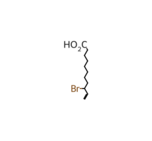 C=CC(Br)CCCCCCCC(=O)O